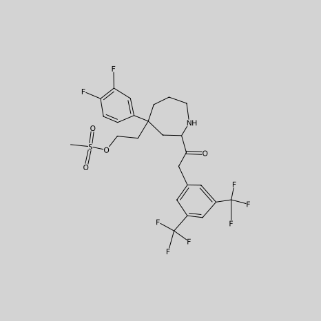 CS(=O)(=O)OCCC1(c2ccc(F)c(F)c2)CCCNC(C(=O)Cc2cc(C(F)(F)F)cc(C(F)(F)F)c2)C1